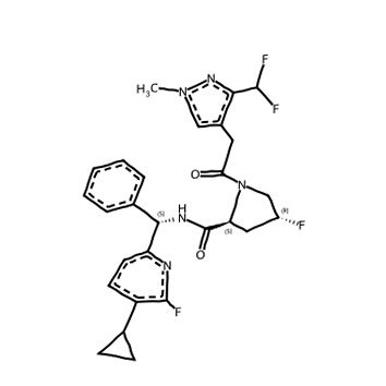 Cn1cc(CC(=O)N2C[C@H](F)C[C@H]2C(=O)N[C@@H](c2ccccc2)c2ccc(C3CC3)c(F)n2)c(C(F)F)n1